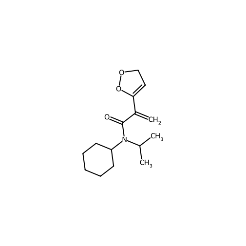 C=C(C(=O)N(C(C)C)C1CCCCC1)C1=CCOO1